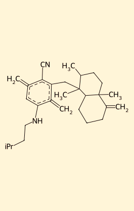 C=C1CCCC2C1(C)CCC(C)C2(C)Cc1c(C#N)c(=C)cc(NCCC(C)C)c1=C